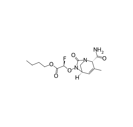 CCCCOC(=O)[C@@H](F)ON1C(=O)N2C[C@H]1C=C(C)[C@H]2C(N)=O